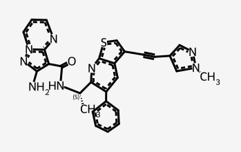 C[C@H](NC(=O)c1c(N)nn2cccnc12)c1nc2scc(C#Cc3cnn(C)c3)c2cc1-c1ccccc1